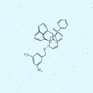 O=S(=O)(c1ccccc1)[C@@H]1C[C@@]2(c3ccccc3)[C@@H](OCc3cc(C(F)(F)F)cc(C(F)(F)F)c3)C=C[C@@H]1N2Cc1ccccc1